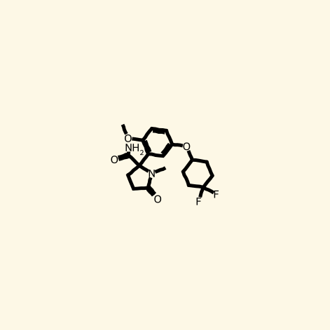 COc1ccc(OC2CCC(F)(F)CC2)cc1C1(C(N)=O)CCC(=O)N1C